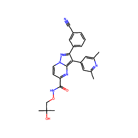 Cc1cc(-c2c(-c3cccc(C#N)c3)nn3ccc(C(=O)NOCC(C)(C)O)nc23)cc(C)n1